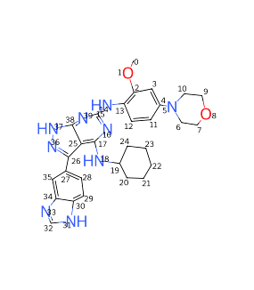 COc1cc(N2CCOCC2)ccc1Nc1nc(NC2CCCCC2)c2c(-c3ccc4[nH]cnc4c3)n[nH]c2n1